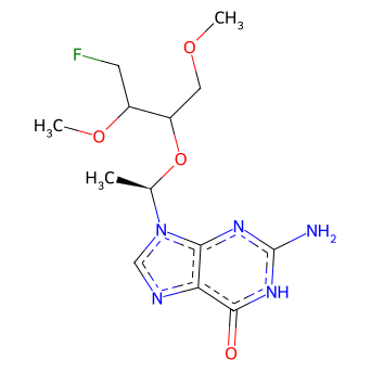 COCC(O[C@H](C)n1cnc2c(=O)[nH]c(N)nc21)C(CF)OC